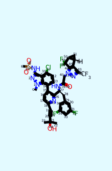 Cn1nc(NS(C)(=O)=O)c2c(Cl)ccc(-c3ccc(C#CC(C)(C)O)nc3[C@H](Cc3cc(F)cc(F)c3)NC(=O)Cn3nc(C(F)(F)F)c4c3C(F)(F)C3C[C@H]43)c21